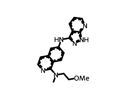 COCCN(C)c1nccc2cc(Nc3n[nH]c4ncccc34)ccc12